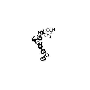 Cc1cc(C2CCN(C(=O)C3CCOC3)CC2)ccc1OCc1ccsc1-c1cccc(-n2ncc(C(=O)O)c2C(F)(F)F)n1